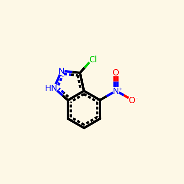 O=[N+]([O-])c1cccc2[nH]nc(Cl)c12